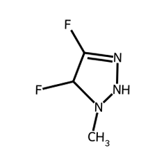 CN1NN=C(F)C1F